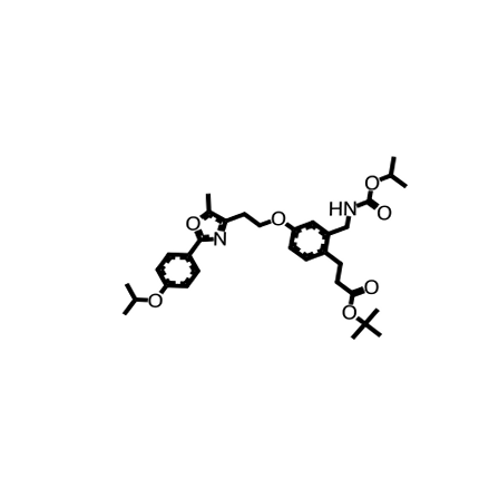 Cc1oc(-c2ccc(OC(C)C)cc2)nc1CCOc1ccc(CCC(=O)OC(C)(C)C)c(CNC(=O)OC(C)C)c1